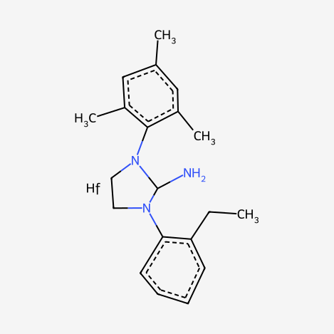 CCc1ccccc1N1CCN(c2c(C)cc(C)cc2C)C1N.[Hf]